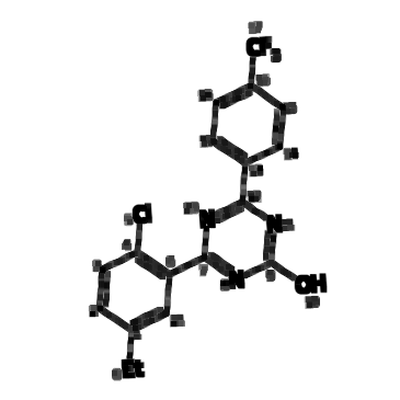 CCc1ccc(Cl)c(-c2nc(O)nc(-c3ccc(C(F)(F)F)cc3)n2)c1